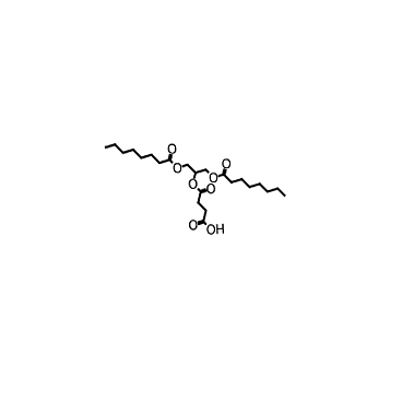 CCCCCCCC(=O)OCC(COC(=O)CCCCCCC)OC(=O)CCC(=O)O